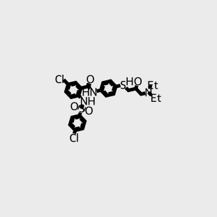 CCN(CC)CC(O)CSc1ccc(NC(=O)c2cc(Cl)ccc2NS(=O)(=O)c2ccc(Cl)cc2)cc1